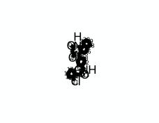 O=C1CC(=O)N(c2ccc(NS(=O)(=O)Cc3ccccc3Cl)cc2)c2ccc3ccccc3c2N1